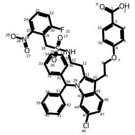 O=C(O)c1ccc(OCCc2c(CCNS(=O)(=O)Cc3c(F)cccc3[N+](=O)[O-])n(C(c3ccccc3)c3ccccc3)c3cc(Cl)ccc23)cc1